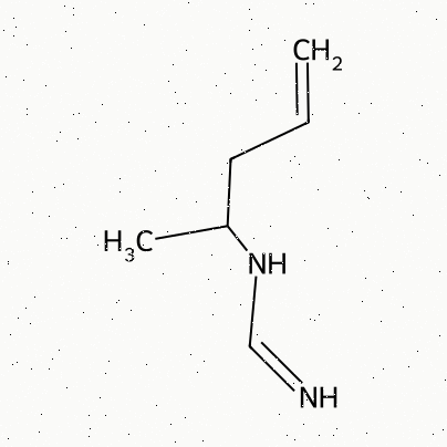 C=CCC(C)NC=N